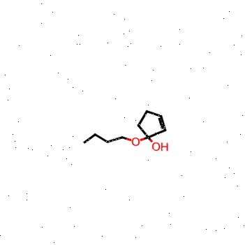 CCCCOC1(O)C=CCC1